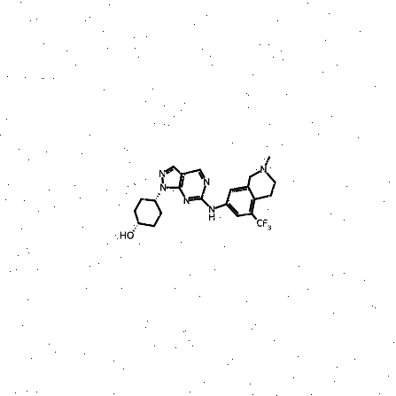 CN1CCc2c(cc(Nc3ncc4cnn([C@H]5CC[C@@H](O)CC5)c4n3)cc2C(F)(F)F)C1